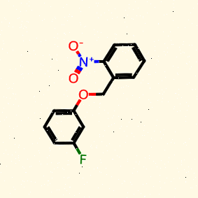 O=[N+]([O-])c1ccccc1COc1cccc(F)c1